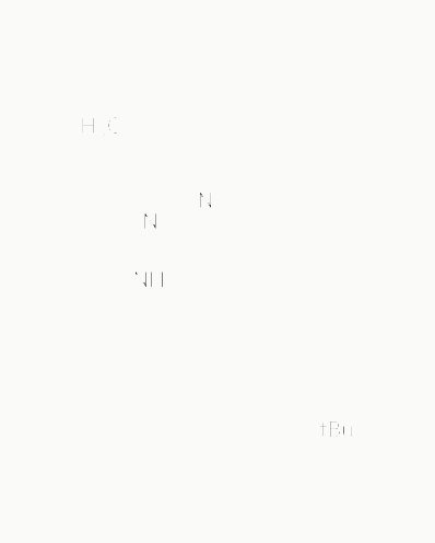 C/C=C\N(CCCCC(C)(C)C)N=N